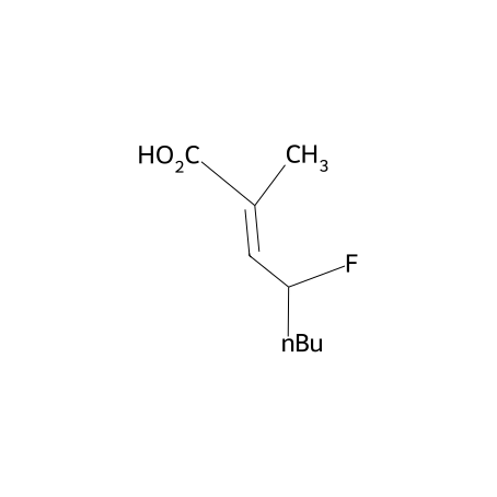 CCCCC(F)/C=C(\C)C(=O)O